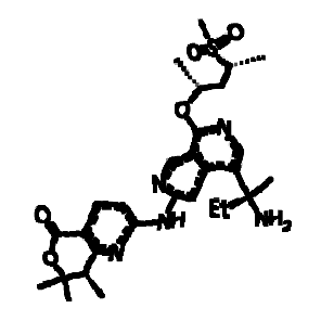 CC[C@@](C)(N)c1cnc(O[C@H](C)C[C@@H](C)S(C)(=O)=O)c2cnc(Nc3ccc4c(n3)[C@@H](C)C(C)(C)OC4=O)cc12